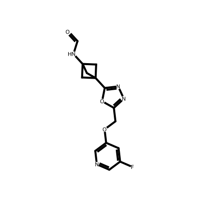 O=CNC12CC(c3nnc(COc4cncc(F)c4)o3)(C1)C2